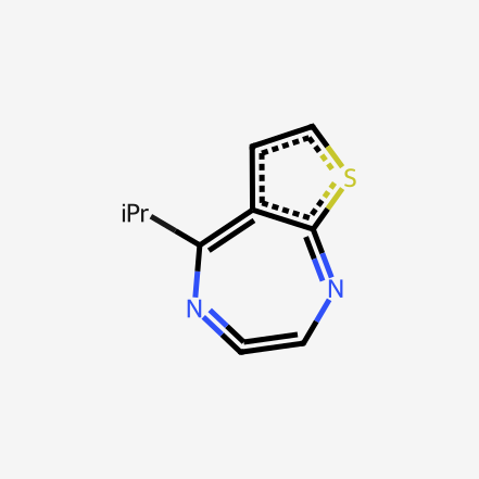 CC(C)C1=c2ccsc2=NC=C=N1